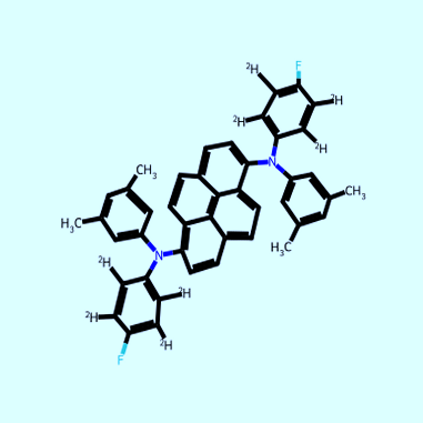 [2H]c1c([2H])c(N(c2cc(C)cc(C)c2)c2ccc3ccc4c(N(c5cc(C)cc(C)c5)c5c([2H])c([2H])c(F)c([2H])c5[2H])ccc5ccc2c3c54)c([2H])c([2H])c1F